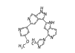 COc1cncc(-c2cc3c(-c4cc5c(-n6cnc(C)c6)nccc5[nH]4)n[nH]c3cn2)c1